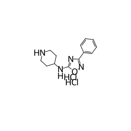 Cl.Cl.c1ccc(-c2noc(NC3CCNCC3)n2)cc1